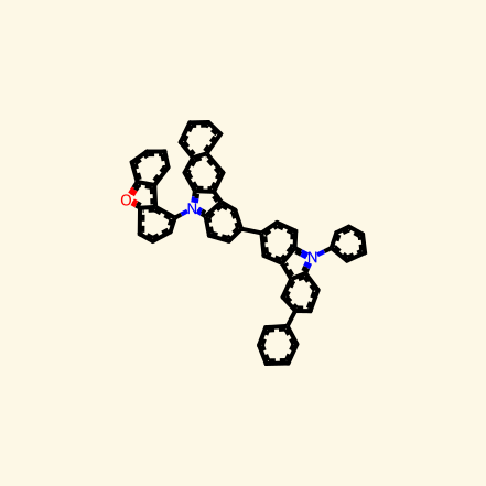 c1ccc(-c2ccc3c(c2)c2cc(-c4ccc5c(c4)c4cc6ccccc6cc4n5-c4cccc5oc6ccccc6c45)ccc2n3-c2ccccc2)cc1